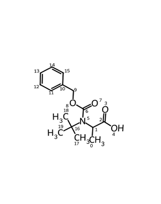 CC(C(=O)O)N(C(=O)OCc1ccccc1)C(C)(C)C